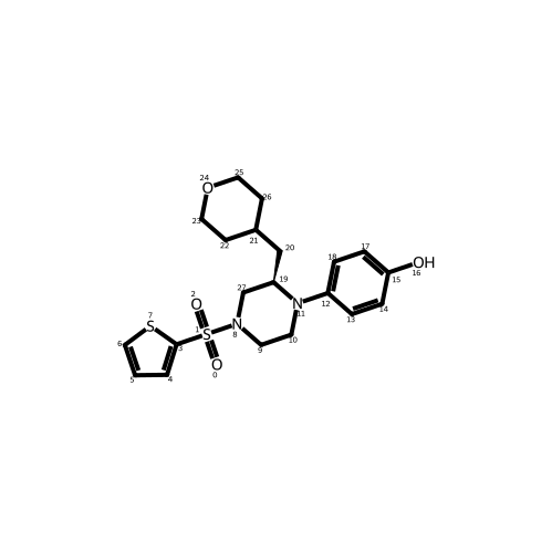 O=S(=O)(c1cccs1)N1CCN(c2ccc(O)cc2)[C@H](CC2CCOCC2)C1